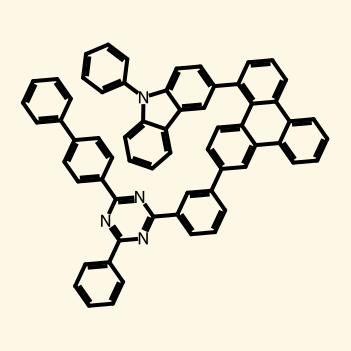 c1ccc(-c2ccc(-c3nc(-c4ccccc4)nc(-c4cccc(-c5ccc6c(c5)c5ccccc5c5cccc(-c7ccc8c(c7)c7ccccc7n8-c7ccccc7)c56)c4)n3)cc2)cc1